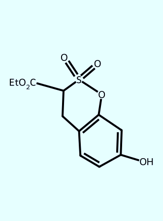 CCOC(=O)C1Cc2ccc(O)cc2OS1(=O)=O